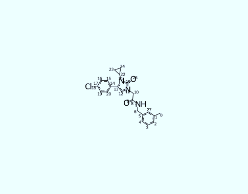 Cc1cccc(CNC(=O)Cn2cc(-c3ccc(Cl)cc3)n(C3CC3)c2=O)c1